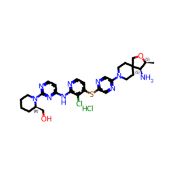 C[C@@H]1OCC2(CCN(c3cnc(Sc4ccnc(Nc5ccnc(N6CCCC[C@@H]6CO)n5)c4Cl)cn3)CC2)[C@@H]1N.Cl